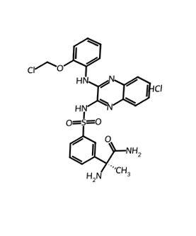 C[C@@](N)(C(N)=O)c1cccc(S(=O)(=O)Nc2nc3ccccc3nc2Nc2ccccc2OCCl)c1.Cl